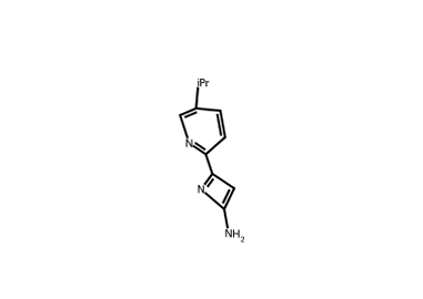 CC(C)c1ccc(C2=NC(N)=C2)nc1